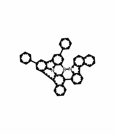 c1ccc(-c2cc3c4c(c2)c2cc(-c5ccccc5)cc5c6c7ccccc7c7c(c6n4c25)B3n2c3ccc4ccccc4c3c3cccc-7c32)cc1